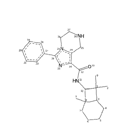 CC1(C)C2CCCCC2(C)C1NC(=O)c1nc(-c2ccccc2)n2c1CNCC2